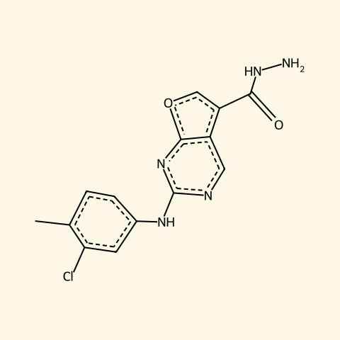 Cc1ccc(Nc2ncc3c(C(=O)NN)coc3n2)cc1Cl